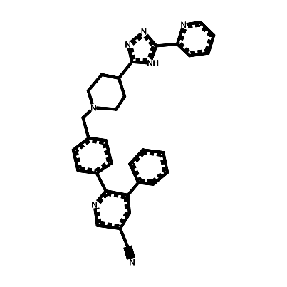 N#Cc1cnc(-c2ccc(CN3CCC(c4nnc(-c5ccccn5)[nH]4)CC3)cc2)c(-c2ccccc2)c1